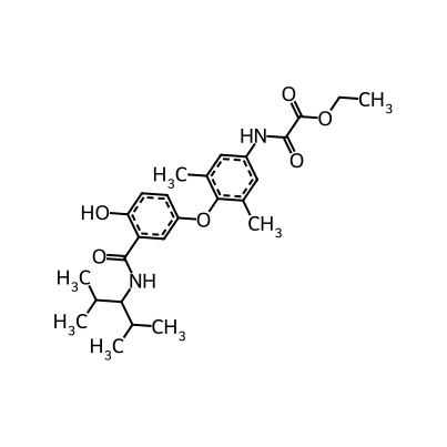 CCOC(=O)C(=O)Nc1cc(C)c(Oc2ccc(O)c(C(=O)NC(C(C)C)C(C)C)c2)c(C)c1